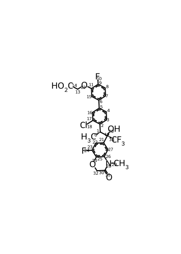 C[C@@H](c1ccc(-c2ccc(F)c(OCC(=O)O)c2)cc1Cl)[C@](O)(c1cc(F)c2c(c1)N(C)C(=O)CO2)C(F)(F)F